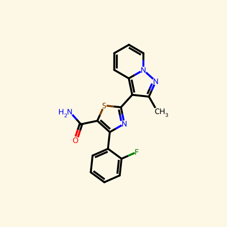 Cc1nn2ccccc2c1-c1nc(-c2ccccc2F)c(C(N)=O)s1